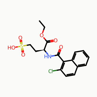 CCOC(=O)[C@H](CCS(=O)(=O)O)NC(=O)c1c(Cl)ccc2ccccc12